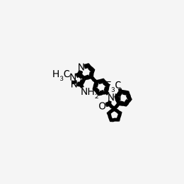 Cn1nc(N)c2c(-c3ccc(NC(=O)C4(c5cccc(C(F)(F)F)c5)CCCC4)cc3)ccnc21